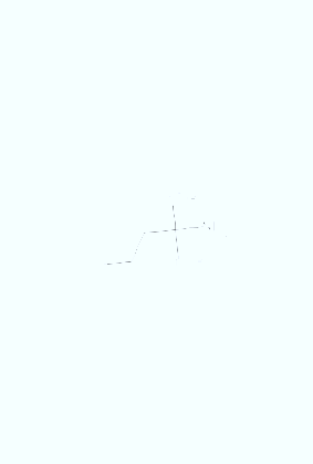 CCCCCC(N)(CCO)CCCCC